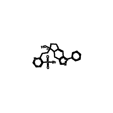 CC(C)S(=O)(=O)c1cccnc1CC[C@]1(O)CCC2=Cc3c(cnn3-c3ccccc3)CC21